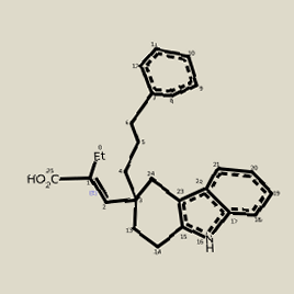 CC/C(=C\C1(CCCc2ccccc2)CCc2[nH]c3ccccc3c2C1)C(=O)O